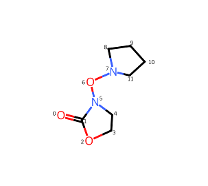 O=C1OCCN1ON1CCCC1